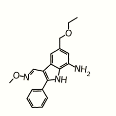 CCOCc1cc(N)c2[nH]c(-c3ccccc3)c(C=NOC)c2c1